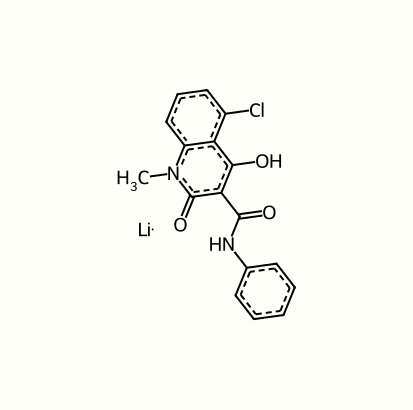 Cn1c(=O)c(C(=O)Nc2ccccc2)c(O)c2c(Cl)cccc21.[Li]